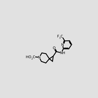 O=C(Nc1cccc(C(F)(F)F)n1)C1CC12CCN(C(=O)O)CC2